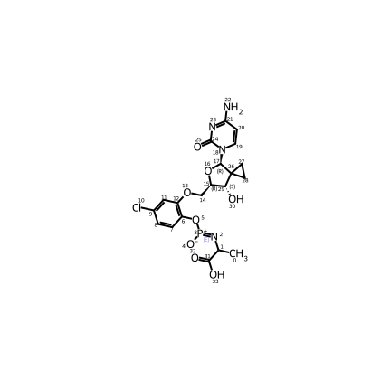 CC(/N=[P+](\[O-])Oc1ccc(Cl)cc1OC[C@H]1O[C@@H](n2ccc(N)nc2=O)C2(CC2)[C@@H]1O)C(=O)O